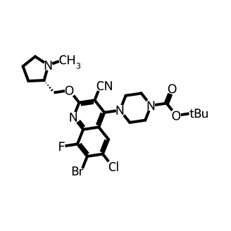 CN1CCC[C@H]1COc1nc2c(F)c(Br)c(Cl)cc2c(N2CCN(C(=O)OC(C)(C)C)CC2)c1C#N